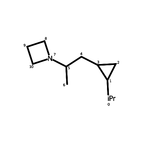 CC(C)C1CC1CC(C)N1CCC1